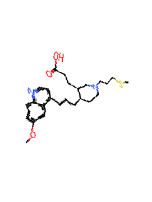 COc1ccc2nccc(CCC[C@@H]3CCN(CCCSC)C[C@@H]3CCC(=O)O)c2c1